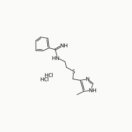 Cc1[nH]cnc1CSCCNC(=N)c1ccccc1.Cl.Cl